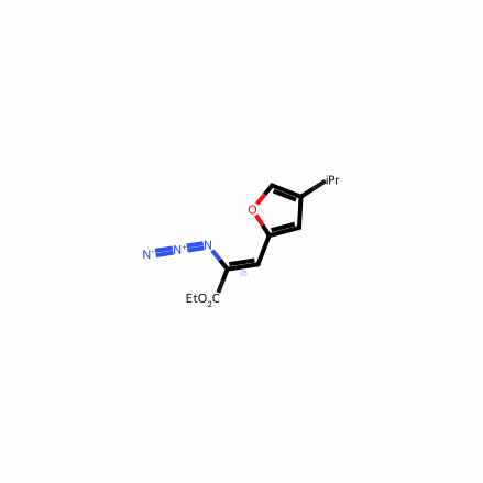 CCOC(=O)/C(=C/c1cc(C(C)C)co1)N=[N+]=[N-]